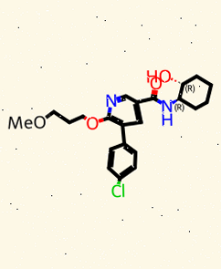 COCCCOc1ncc(C(=O)N[C@@H]2CCCC[C@H]2O)cc1-c1ccc(Cl)cc1